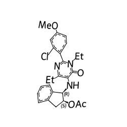 CCc1nc(-c2ccc(OC)cc2Cl)n(CC)c(=O)c1N[C@@H]1c2ccccc2C[C@@H]1OC(C)=O